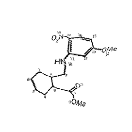 COC(=O)C1CCCCC1CNc1cc(OC)ccc1[N+](=O)[O-]